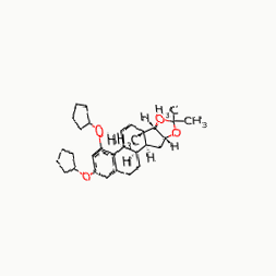 CC1(C)O[C@@H]2[C@@H](C[C@H]3[C@H]4CCc5cc(OC6CCCC6)cc(OC6CCCC6)c5[C@H]4CC[C@]23C)O1